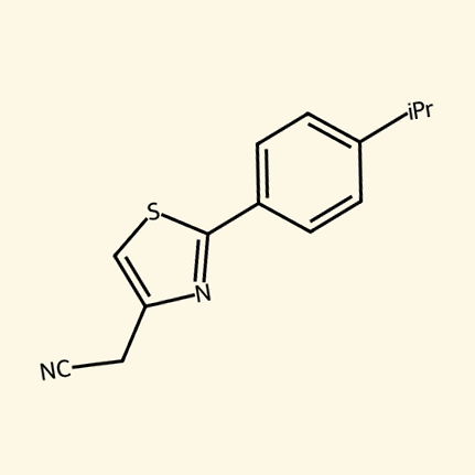 CC(C)c1ccc(-c2nc(CC#N)cs2)cc1